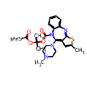 CSC(=O)OC(C)(C)OC(=O)N1C(N2CCN(C)CC2)=c2cc(C)sc2=Nc2ccccc21